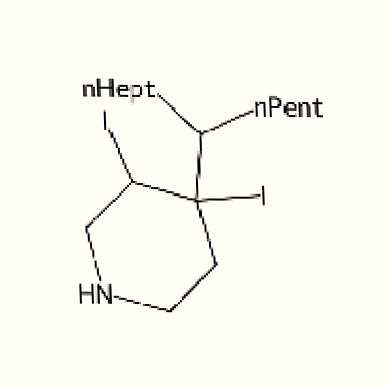 CCCCCCCC(CCCCC)C1(I)CCNCC1I